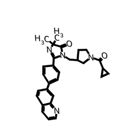 CC1(C)N=C(c2ccc(-c3ccc4cccnc4c3)cc2)N(CC2CCN(C(=O)C3CC3)C2)C1=O